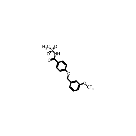 CS(=O)(=O)NC(=O)c1ccc(OCc2cccc(OC(F)(F)F)c2)cc1